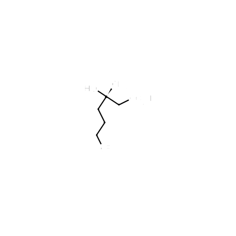 C[C@](O)(CCCC(F)(F)F)CC(=O)O